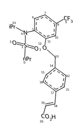 CCCS(=O)(=O)N(c1ccc(C(F)(F)F)cc1OCc1ccc(C=CC(=O)O)cc1)C(C)C